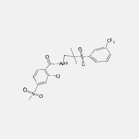 CC(C)(CNC(=O)c1ccc(S(C)(=O)=O)cc1Cl)S(=O)(=O)c1cccc(C(F)(F)F)c1